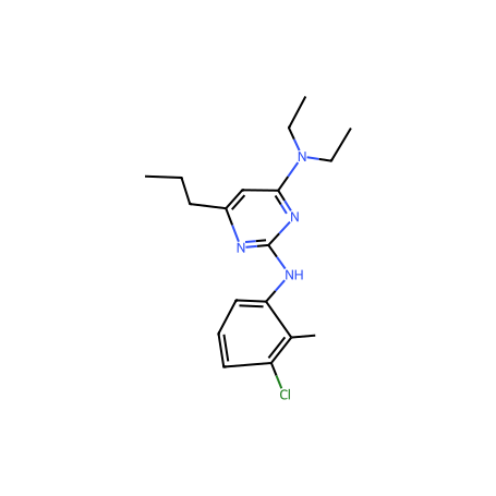 CCCc1cc(N(CC)CC)nc(Nc2cccc(Cl)c2C)n1